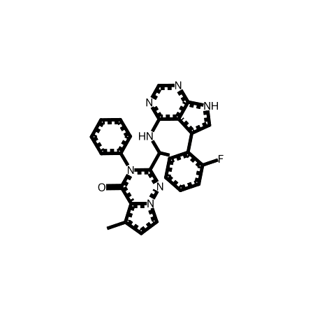 Cc1ccn2nc(C(C)Nc3ncnc4[nH]cc(-c5ccccc5F)c34)n(-c3ccccc3)c(=O)c12